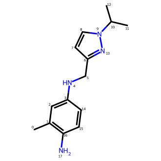 Cc1cc(NCc2ccn(C(C)C)n2)ccc1N